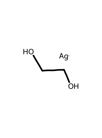 OCCO.[Ag]